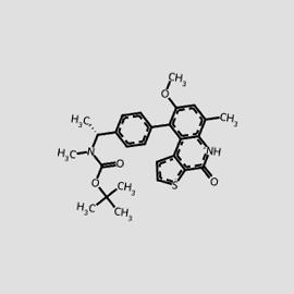 COc1cc(C)c2[nH]c(=O)c3sccc3c2c1-c1ccc([C@@H](C)N(C)C(=O)OC(C)(C)C)cc1